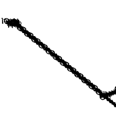 CCCCCCCCCCCC(CCCCCCCCCCC(=O)O)C(=O)NCCOCCOCCOCCOCCOCCOCCOCCOCCOCCOCCOCCOCCOCCOCCOCCOCCOCCOCCOCCOCCOCCOCCOCCn1nnc2c1CC[C@H]1C(CC2)[C@H]1CO